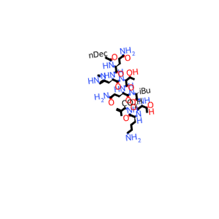 C=C(C)[C@@H](NC(=O)[C@H](CCCCN)NC(=O)[C@H](NC(=O)C(NC(=O)[C@@H](CCC(N)=O)NC(=O)[C@@H](NC(=O)[C@@H](Cc1c[nH]cn1)NC(=O)[C@H](CCC(N)=O)NC(=O)CCCCCCCCCCC)C(C)O)[C@@H](C)CC)C(C)O)C(=O)O